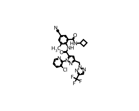 Cc1cc(C#N)cc(C(=O)NC2CCC2)c1NC(=O)c1cc(Cn2ncc(C(F)(F)F)n2)nn1-c1ncccc1Cl